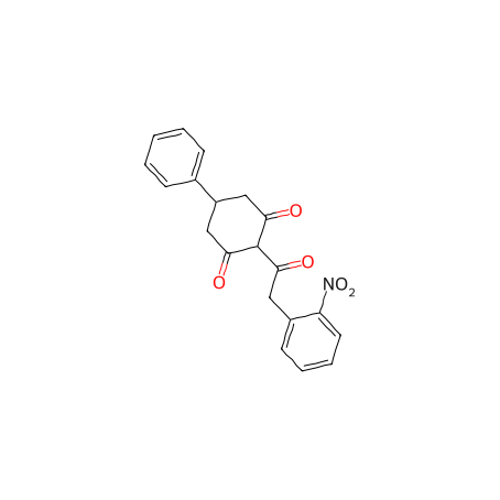 O=C(Cc1ccccc1[N+](=O)[O-])C1C(=O)CC(c2ccccc2)CC1=O